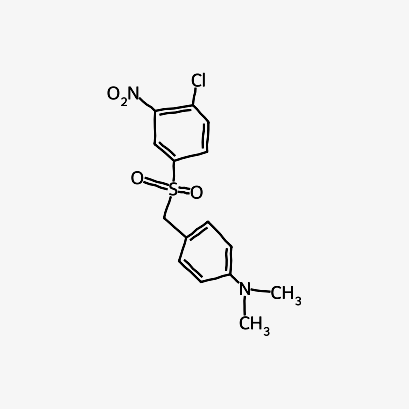 CN(C)c1ccc(CS(=O)(=O)c2ccc(Cl)c([N+](=O)[O-])c2)cc1